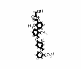 Cc1c(COc2ccc(CN3CCCC[C@H]3C(=O)O)cc2Cl)cccc1-c1cccc(-c2noc(CO)n2)c1C